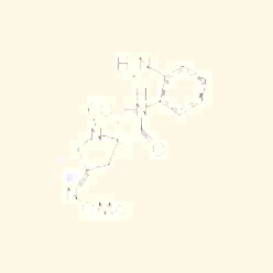 CO/N=C1\C[C@@H](C(=O)Nc2ccccc2N)N(C(=O)O)C1